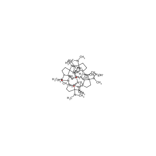 CN(C)P1CCC(N(C)C)(N(C)C)C1=N[P+](N=C1P(N(C)C)CCC1(N(C)C)N(C)C)(N=C1P(N(C)C)CCC1(N(C)C)N(C)C)N=C1P(N(C)C)CCC1(N(C)C)N(C)C.[OH-]